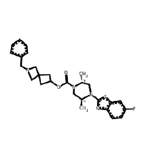 C[C@@H]1CN(c2nc3ccc(F)cc3s2)[C@@H](C)CN1C(=O)OC1CC2(C1)CN(Cc1ccccc1)C2